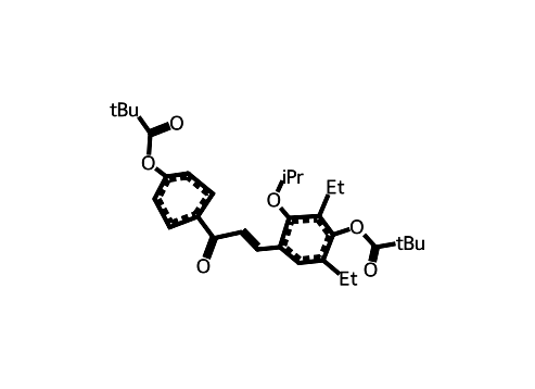 CCc1cc(/C=C/C(=O)c2ccc(OC(=O)C(C)(C)C)cc2)c(OC(C)C)c(CC)c1OC(=O)C(C)(C)C